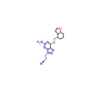 N#CCCn1nnc2c(OCc3cccc4occc34)nc(N)nc21